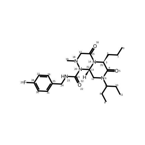 CCC[C@H]1C(=O)N(C(CC)CC)C[C@H]2N1C(=O)CN(C)N2C(=O)NCc1ccc(F)cc1